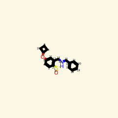 O=[S+]c1ccc(OC2CCC2)cc1CNCc1ccccc1